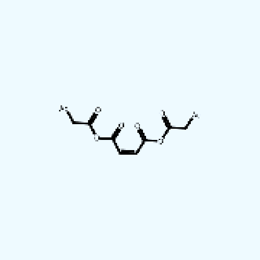 CC(=O)CC(=O)OC(=O)/C=C\C(=O)OC(=O)CC(C)=O